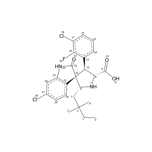 CCC(C)(C)C[C@H]1N[C@@H](C(=O)O)[C@H](c2cccc(Cl)c2F)[C@@]12C(=O)Nc1cc(Cl)ccc12